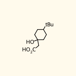 CC(C)(C)C1CCC(O)(CC(=O)O)CC1